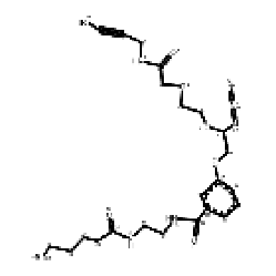 CC(C)(C)C#CCNC(=O)COCCOC(COc1cccc(C(=O)NCCNC(=O)CCCCC(C)(C)C)c1)N=[N+]=[N-]